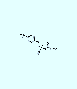 C#CC(C)(COc1ccc([N+](=O)[O-])cc1)OC(=O)OC